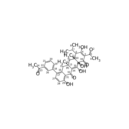 CC(=O)C1=C(O)C(C(C)C)[C@@]2(C)C[C@@]3(C)Cc4c(-c5cccc(C(C)=O)c5)ccc(O)c4C(=O)C3=C(O)[C@@]2(O)C1=O